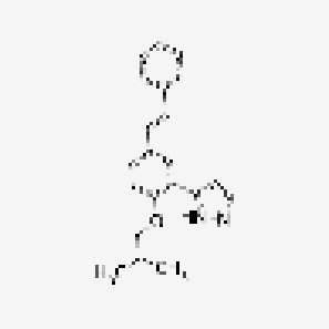 CC(C)COc1ccc(C=Cc2ccccc2)cc1-c1ccn[nH]1